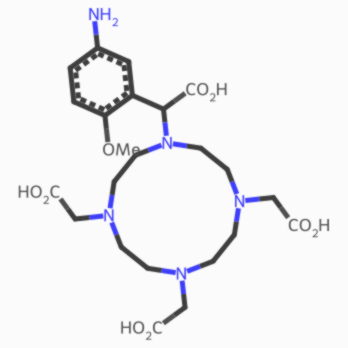 COc1ccc(N)cc1C(C(=O)O)N1CCN(CC(=O)O)CCN(CC(=O)O)CCN(CC(=O)O)CC1